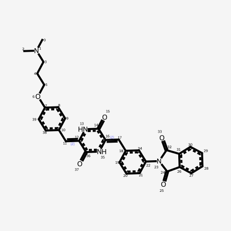 CN(C)CCCOc1ccc(/C=c2\[nH]c(=O)/c(=C/c3cccc(N4C(=O)c5ccccc5C4=O)c3)[nH]c2=O)cc1